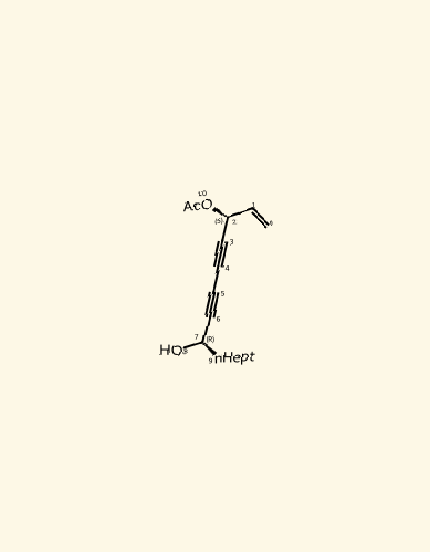 C=C[C@@H](C#CC#C[C@H](O)CCCCCCC)OC(C)=O